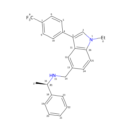 CCn1cc(-c2ccc(C(F)(F)F)cc2)c2cc(CN[C@H](C)c3ccccc3)ccc21